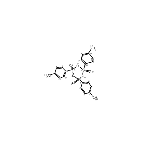 Cc1ccc(P2(=O)OP(=O)(c3ccc(C)cc3)OP(=O)(c3ccc(C)cc3)O2)cc1